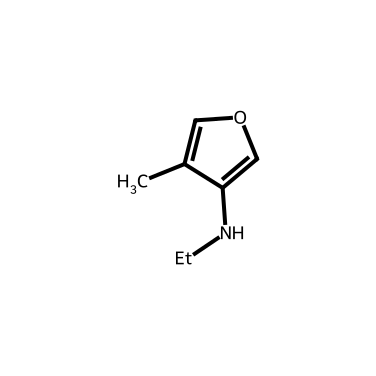 CCNc1cocc1C